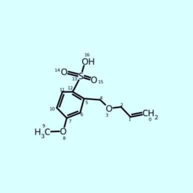 C=CCOCc1cc(OC)ccc1S(=O)(=O)O